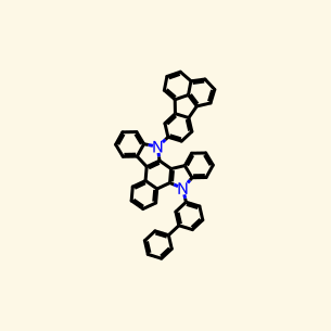 c1ccc(-c2cccc(-n3c4ccccc4c4c3c3ccccc3c3c5ccccc5n(-c5ccc6c(c5)-c5cccc7cccc-6c57)c34)c2)cc1